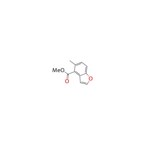 COC(=O)c1c(C)ccc2occc12